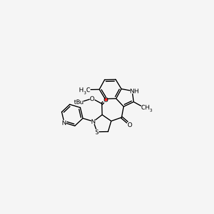 Cc1ccc2[nH]c(C)c(C(=O)C3CSN(c4cccnc4)C3C(=O)OC(C)(C)C)c2c1